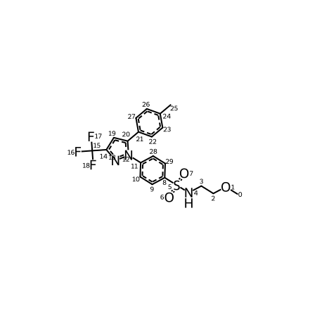 COCCNS(=O)(=O)c1ccc(-n2nc(C(F)(F)F)cc2-c2ccc(C)cc2)cc1